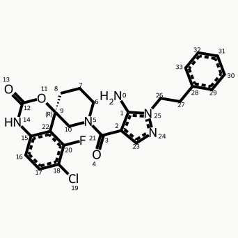 Nc1c(C(=O)N2CCC[C@@]3(C2)OC(=O)Nc2ccc(Cl)c(F)c23)cnn1CCc1ccccc1